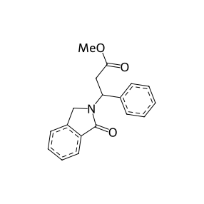 COC(=O)CC(c1ccccc1)N1Cc2ccccc2C1=O